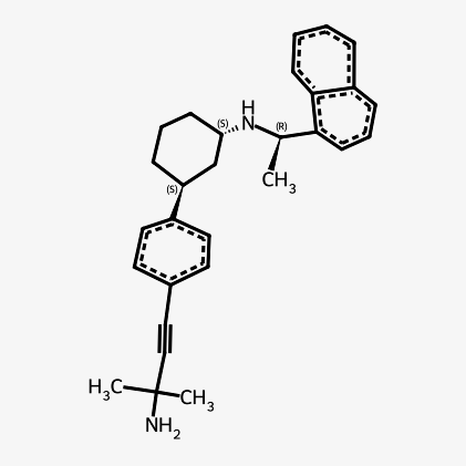 C[C@@H](N[C@H]1CCC[C@H](c2ccc(C#CC(C)(C)N)cc2)C1)c1cccc2ccccc12